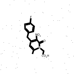 Cc1cc(Cc2ccc(F)cc2)c([N+](=O)[O-])c(=O)n1CC(=O)O